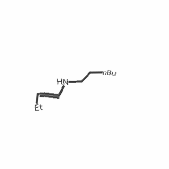 [CH2]CC=CNCCCCCC